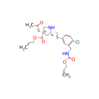 C=CCOC(=O)NCc1cc(SC[C@@H]2C[C@@](SC(C)=O)(C(=O)OCC=C)CN2)ccc1Cl